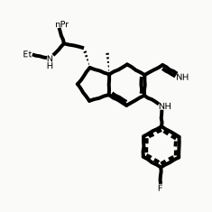 CCCC(C[C@H]1CCC2=CC(Nc3ccc(F)cc3)=C(C=N)C[C@@]21C)NCC